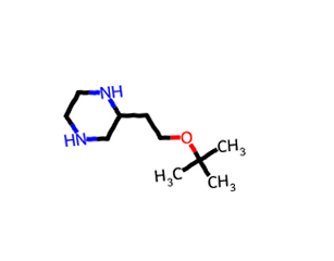 CC(C)(C)OCCC1CNCCN1